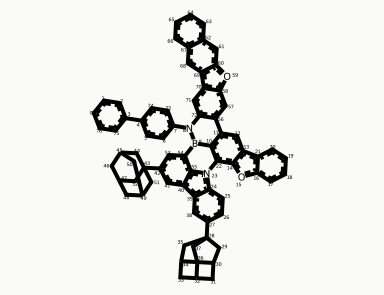 c1ccc(-c2ccc(N3B4c5c(cc6c(oc7ccccc76)c5-n5c6ccc(C78CC9CC%10CC(C7)C%109C8)cc6c6cc(C78CC9CC(CC(C9)C7)C8)cc4c65)-c4cc5oc6cc7ccccc7cc6c5cc43)cc2)cc1